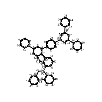 c1ccc(-c2cc(-c3ccc(-c4nc(-c5ccccc5)cc(-c5ccccc5)n4)cc3)c3c(c2)oc2c([C@@H]4Cc5ccccc5-c5ccccc54)cccc23)cc1